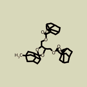 CC12CC3CC(C1)C1(OC(COC(=O)C45CC6CC(C4)C(=O)C(C6)C5)C(COC(=O)C45CC6CC(C4)C(=O)C(C6)C5)O1)C(C3)C2